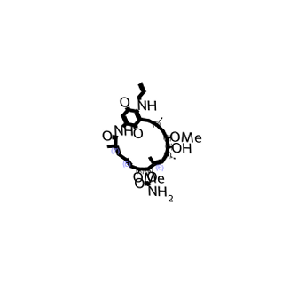 C=CCNC1=C2C[C@H](C)C[C@H](OC)[C@@H](O)[C@H](C)/C=C(\C)[C@H](OC(N)=O)[C@H](OC)/C=C/C=C(/C)C(=O)NC(=CC1=O)C2=O